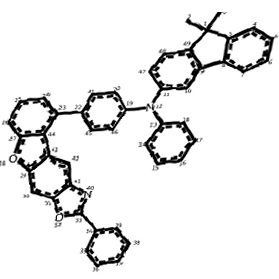 CC1(C)c2ccccc2-c2cc(N(c3ccccc3)c3ccc(-c4cccc5oc6cc7oc(-c8ccccc8)nc7cc6c45)cc3)ccc21